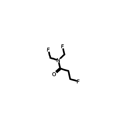 O=C(CCF)N(CF)CF